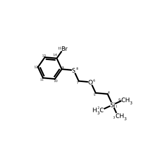 C[Si](C)(C)CCOCSc1ccccc1Br